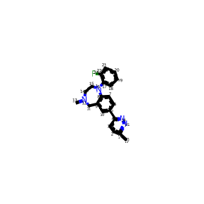 [CH]c1ccc(-c2ccc3c(c2)CN(C)CCN3c2ccccc2F)nn1